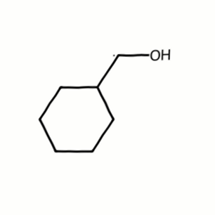 O[CH]C1CCCCC1